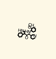 COc1ccccc1NC(C(=O)c1c[nH]c2ccccc12)c1cccnc1